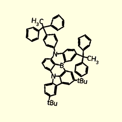 CC(C)(C)c1ccc2c(c1)c1cc(C(C)(C)C)cc3c1n2-c1cccc2c1B3c1cc(C(C)(c3ccccc3)c3ccccc3)ccc1N2c1ccc(C(C)(c2ccccc2)c2ccccc2)cc1